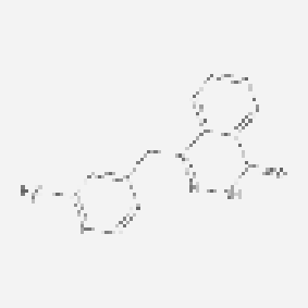 Cc1cc(Cc2n[nH]c(=O)c3ccccc23)ccn1